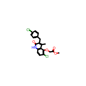 COC(=O)COc1c(Cl)ccc2[nH]c(=O)c(Cc3ccc(Cl)cc3)c(C)c12